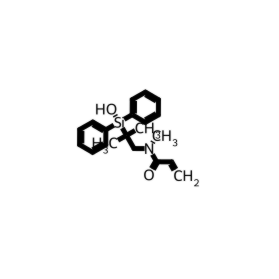 C=CC(=O)N(C)CC(C)(C)[Si](O)(c1ccccc1)c1ccccc1